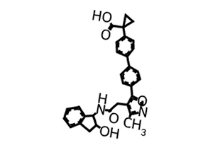 Cc1noc(-c2ccc(-c3ccc(C4(C(=O)O)CC4)cc3)cc2)c1CC(=O)NC1c2ccccc2CC1O